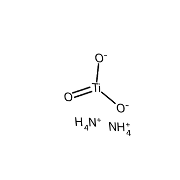 [NH4+].[NH4+].[O]=[Ti]([O-])[O-]